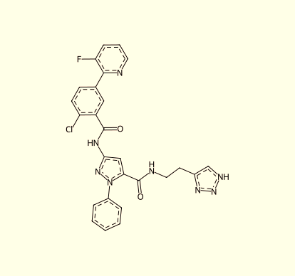 O=C(Nc1cc(C(=O)NCCc2c[nH]nn2)n(-c2ccccc2)n1)c1cc(-c2ncccc2F)ccc1Cl